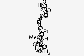 CCc1cc(Nc2ncc(Cl)c(Nc3ccccc3P(C)(C)=O)n2)c(OC)cc1N1CCC(N2CCC3(CC(Oc4cccc5c4CN(C4CCC(=O)NC4=O)C5=O)C3)C2)CC1